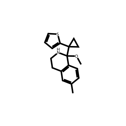 COC1(C2(c3cccs3)CC2)NCCc2cc(C)ccc21